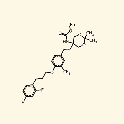 CC(C)(C)OC(=O)NC1(CCc2ccc(OCCCc3ccc(F)cc3F)c(C(F)(F)F)c2)COC(C)(C)OC1